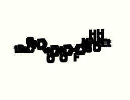 CCNC(=O)Nc1nc2cc(-c3ccn(-c4ccn(CC5CCCN(C(=O)OC(C)(C)C)C5)c(=O)c4)c(=O)c3)c(F)cc2s1